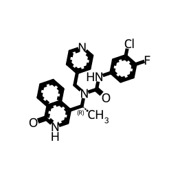 C[C@H](c1c[nH]c(=O)c2ccccc12)N(Cc1ccncc1)C(=O)Nc1ccc(F)c(Cl)c1